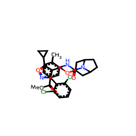 COC(=O)c1ccc(C)c(NC(=O)N2C3CCC2CC(OCc2c(-c4c(Cl)cccc4Cl)noc2C2CC2)C3)c1